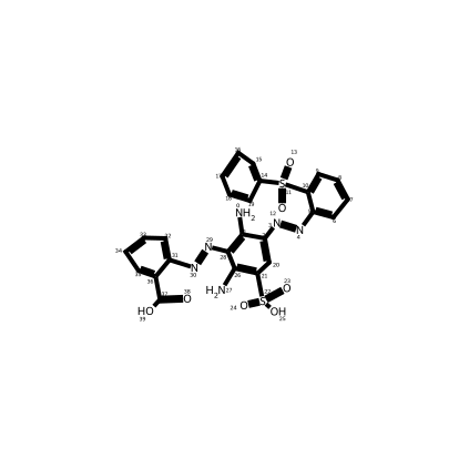 Nc1c(/N=N/c2ccccc2S(=O)(=O)c2ccccc2)cc(S(=O)(=O)O)c(N)c1/N=N/c1ccccc1C(=O)O